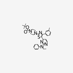 CCN(c1ccccc1)c1nccc(-c2sc(N3CCN(C(=O)OC(C)(C)C)CC3)nc2-c2cccc(C)c2)n1